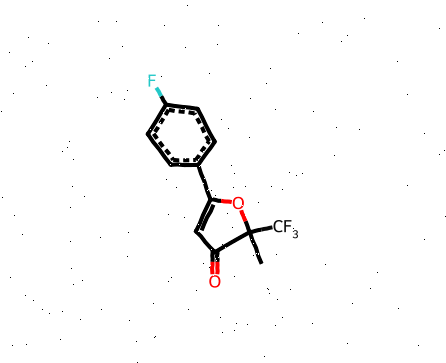 CC1(C(F)(F)F)OC(c2ccc(F)cc2)=CC1=O